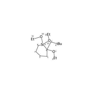 CCOC1(CC(C)(C)C)CCCC[Si]1(OCC)OCC